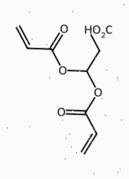 C=CC(=O)OC(CC(=O)O)OC(=O)C=C